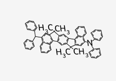 CC1(C)c2cc3c(cc2-c2c1cc(C(c1ccccc1)c1ccccc1)c1ccccc21)C(C)(C)c1cc(N(c2ccccc2)c2ccccc2)c2ccccc2c1-3